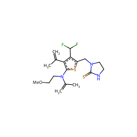 C=C(C)c1c(N(CCOC)C(=C)C)sc(CN2CCNC2=S)c1C(F)F